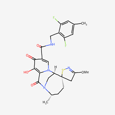 COC1=NS[C@@]2(CC[C@H](C)N3C[C@H]2n2cc(C(=O)NCc4c(F)cc(C)cc4F)c(=O)c(O)c2C3=O)C1